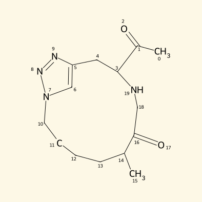 CC(=O)C1Cc2cn(nn2)CCCCC(C)C(=O)CN1